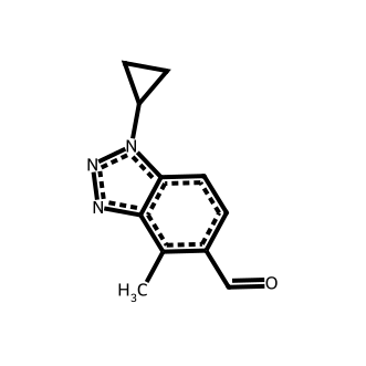 Cc1c(C=O)ccc2c1nnn2C1CC1